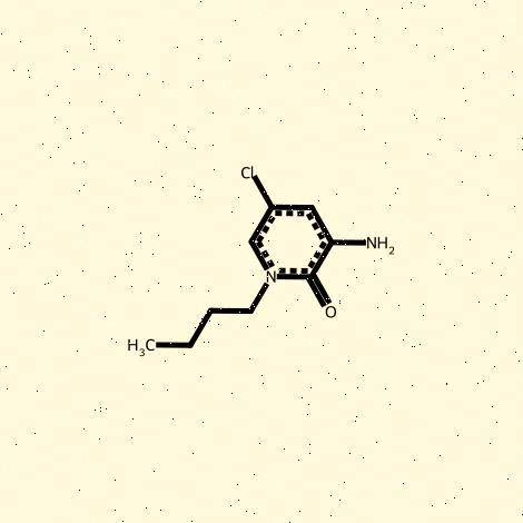 CCCCn1cc(Cl)cc(N)c1=O